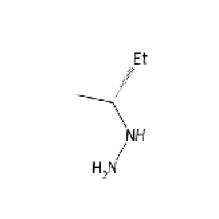 CC[C@@H](C)NN